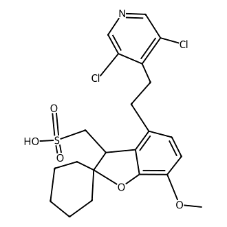 COc1ccc(CCc2c(Cl)cncc2Cl)c2c1OC1(CCCCC1)C2CS(=O)(=O)O